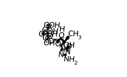 CC#CC1(O)[C@@H](O)[C@@H](COP(=O)(O)OP(=O)(O)OP(=O)(O)O)O[C@H]1n1cnc(N)nc1=O